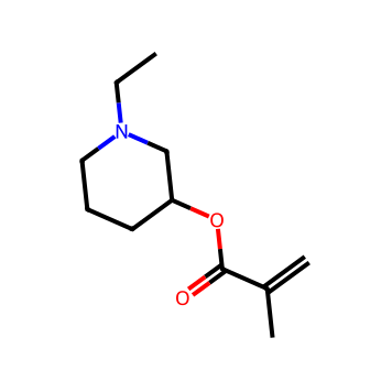 C=C(C)C(=O)OC1CCCN(CC)C1